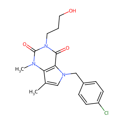 Cc1cn(Cc2ccc(Cl)cc2)c2c(=O)n(CCCO)c(=O)n(C)c12